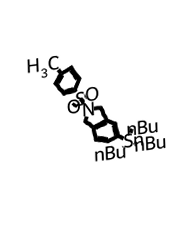 CCC[CH2][Sn]([CH2]CCC)([CH2]CCC)[c]1ccc2c(c1)CN(S(=O)(=O)c1ccc(C)cc1)C2